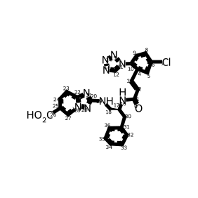 O=C(/C=C/c1cc(Cl)ccc1-n1cnnn1)N[C@H](CNc1nc2ccc(C(=O)O)cn2n1)Cc1ccccc1